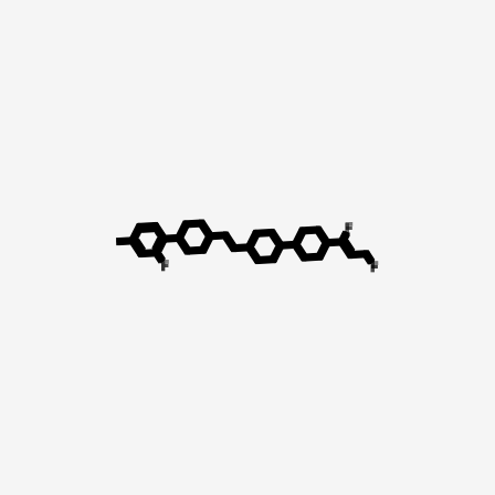 Cc1ccc(C2CCC(CCC3CCC(C4CCC(/C(F)=C/CF)CC4)CC3)CC2)c(F)c1